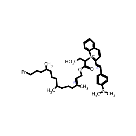 C/C(=C\COC(=O)C(CC(=O)O)[n+]1c(/C=C/c2ccc(N(C)C)cc2)ccc2ccccc21)CCCC(C)CCCC(C)CCCC(C)C